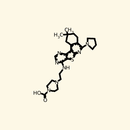 CC1(C)CCc2c(N3CCCC3)nc3sc4c(NCCN5CCN(C(=O)O)CC5)ncnc4c3c2C1